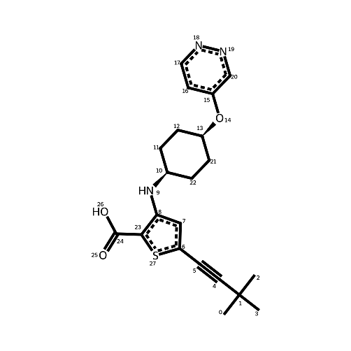 CC(C)(C)C#Cc1cc(N[C@H]2CC[C@@H](Oc3ccnnc3)CC2)c(C(=O)O)s1